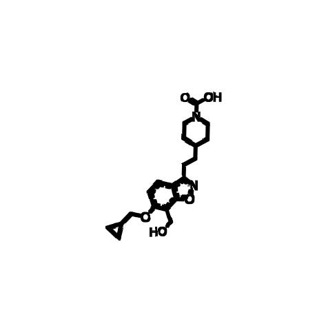 O=C(O)N1CCC(CCc2noc3c(CO)c(OCC4CC4)ccc23)CC1